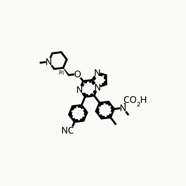 Cc1ccc(-c2c(-c3ccc(C#N)cc3)nc(OC[C@@H]3CCCN(C)C3)c3nccn23)cc1N(C)C(=O)O